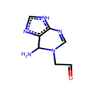 NC1c2nc[nH]c2N=CN1C[C]=O